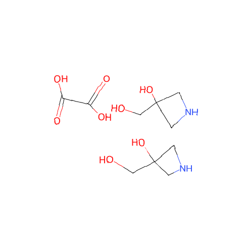 O=C(O)C(=O)O.OCC1(O)CNC1.OCC1(O)CNC1